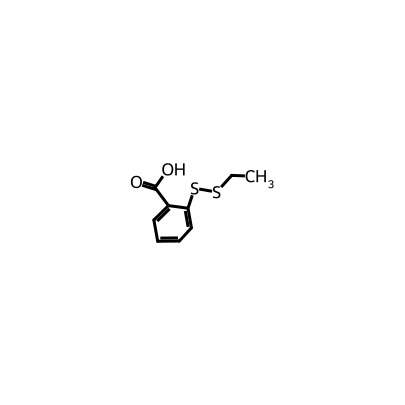 CCSSc1ccccc1C(=O)O